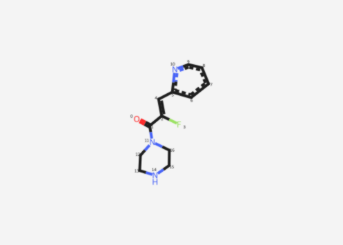 O=C(/C(F)=C/c1ccccn1)N1CCNCC1